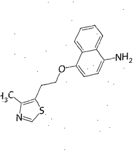 Cc1ncsc1CCOc1ccc(N)c2ccccc12